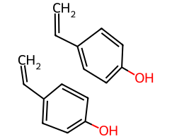 C=Cc1ccc(O)cc1.C=Cc1ccc(O)cc1